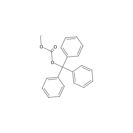 [CH2]OC(=O)OC(c1ccccc1)(c1ccccc1)c1ccccc1